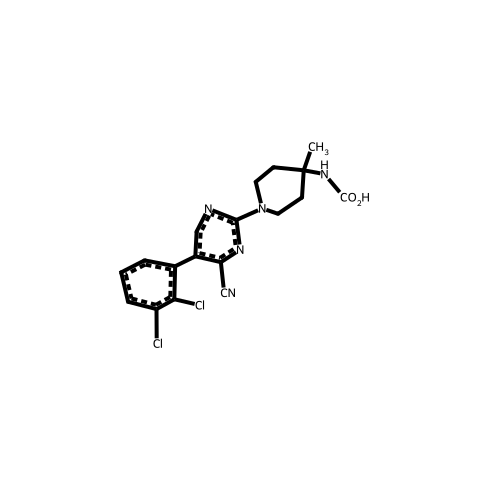 CC1(NC(=O)O)CCN(c2ncc(-c3cccc(Cl)c3Cl)c(C#N)n2)CC1